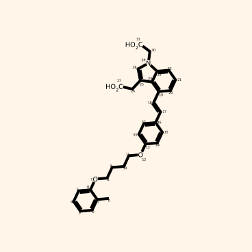 Cc1ccccc1OCCCCOc1ccc(/C=C/c2cccc3c2c(CC(=O)O)cn3CC(=O)O)cc1